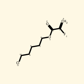 C=C(F)C(=O)OCCCCCCl